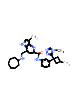 Cc1c[nH]c2c(CNC3CCCCCC3)cc(C(=O)Nc3cccc(C4(c5nncn5C)CC(C)C4)c3)nc12